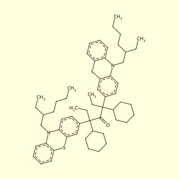 CCCCC(CC)CN1c2ccccc2Sc2cc(C(CC)(C(=O)C(CC)(c3ccc4c(c3)Sc3ccccc3N4CC(CC)CCCC)C3CCCCC3)C3CCCCC3)ccc21